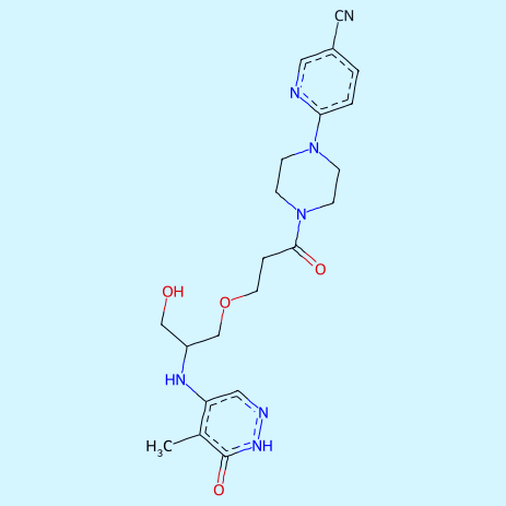 Cc1c(NC(CO)COCCC(=O)N2CCN(c3ccc(C#N)cn3)CC2)cn[nH]c1=O